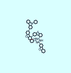 c1ccc(C2N=C(c3ccc4c(c3)oc3ccccc34)NC(c3cccc4sc5ccc(-c6cccc7oc8ccc(-c9ccc%10c(c9)c9ccccc9n%10-c9ccccc9)cc8c67)cc5c34)N2)cc1